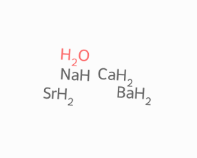 O.[BaH2].[CaH2].[NaH].[SrH2]